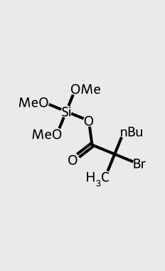 CCCCC(C)(Br)C(=O)O[Si](OC)(OC)OC